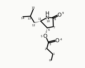 CCCC(=O)O[C@H]1CC(=O)N[C@H]1CC(C)C